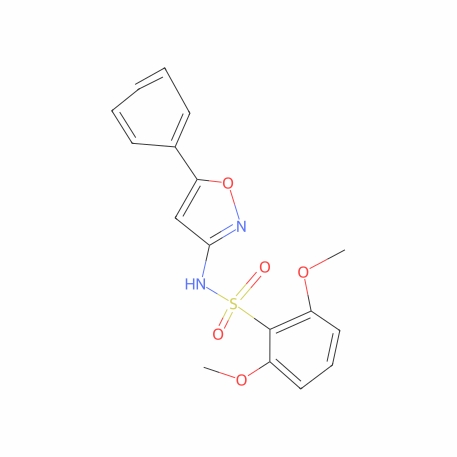 COc1cccc(OC)c1S(=O)(=O)Nc1cc(-c2ccccc2)on1